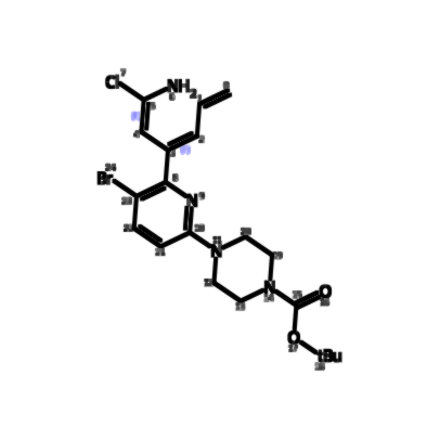 C=C/C=C(\C=C(/N)Cl)c1nc(N2CCN(C(=O)OC(C)(C)C)CC2)ccc1Br